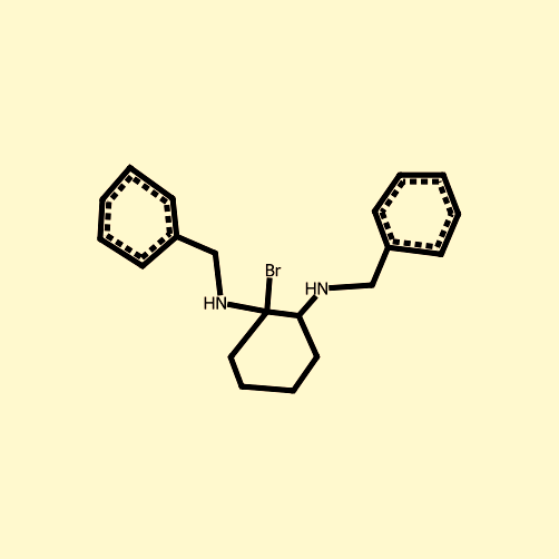 BrC1(NCc2ccccc2)CCCCC1NCc1ccccc1